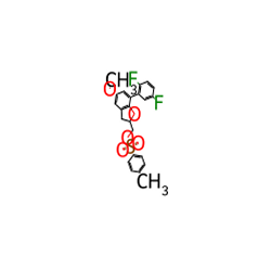 COc1cc2c(c(-c3cc(F)ccc3F)c1)OC(COS(=O)(=O)c1ccc(C)cc1)C2